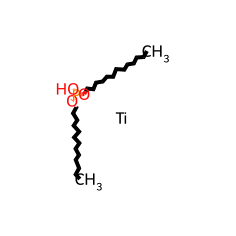 CCCCCCCCCCCCCOP(O)OCCCCCCCCCCCCC.[Ti]